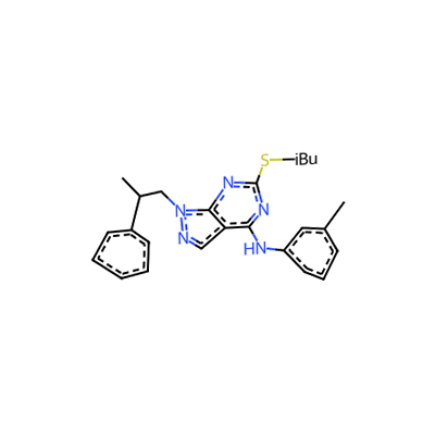 CCC(C)Sc1nc(Nc2cccc(C)c2)c2cnn(CC(C)c3ccccc3)c2n1